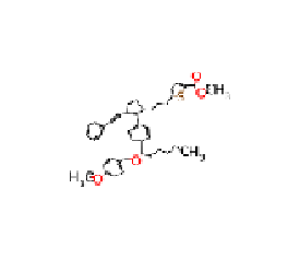 CCCCCC(OCc1ccc(OC)cc1)c1ccc(C2=C(C#Cc3ccccc3)CC[C@@H]2CCCc2ccc(C(=O)OC)s2)cc1